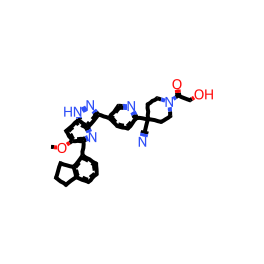 COc1cc2[nH]nc(-c3ccc(C4(C#N)CCN(C(=O)CO)CC4)nc3)c2nc1-c1cccc2c1CCC2